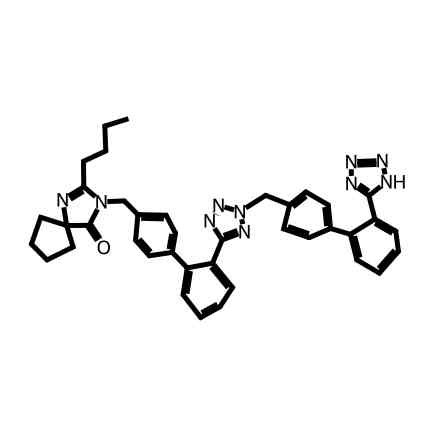 CCCCC1=NC2(CCCC2)C(=O)N1Cc1ccc(-c2ccccc2-c2nnn(Cc3ccc(-c4ccccc4-c4nnn[nH]4)cc3)n2)cc1